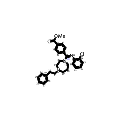 COC(=O)c1ccc(/C(=N/c2ccccc2Cl)N2CCCN(CCc3ccccc3)CC2)cc1